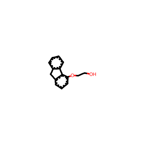 OCCOc1cccc2c1-c1ccccc1C2